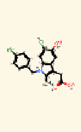 Cc1c(CC(=O)O)c2cc(O)c(Cl)cc2n1Cc1ccc(Cl)cc1